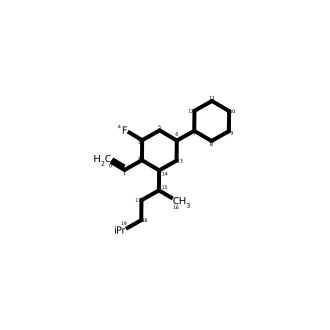 C=CC1C(F)CC(C2CCCCC2)CC1C(C)CCC(C)C